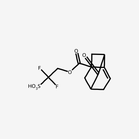 O=C1C2CC=C3C1CC3(C(=O)OCC(F)(F)S(=O)(=O)O)C2